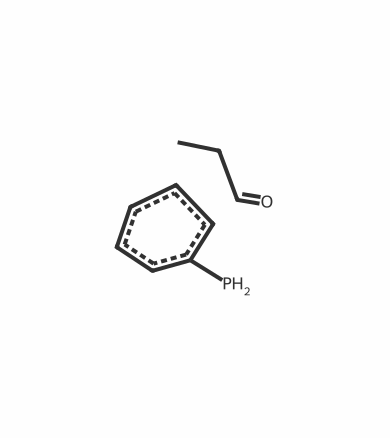 CCC=O.Pc1ccccc1